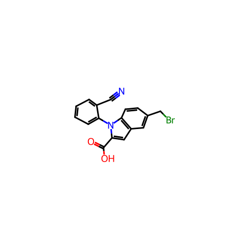 N#Cc1ccccc1-n1c(C(=O)O)cc2cc(CBr)ccc21